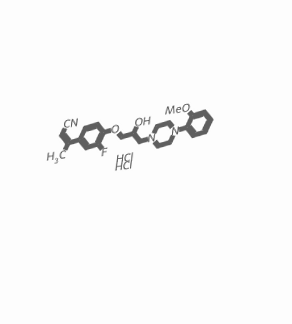 COc1ccccc1N1CCN(CC(O)COc2ccc(/C(C)=C\C#N)cc2F)CC1.Cl.Cl